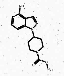 CC(C)(C)OC(=O)N1CCC(n2ncc3c([N+](=O)[O-])cccc32)CC1